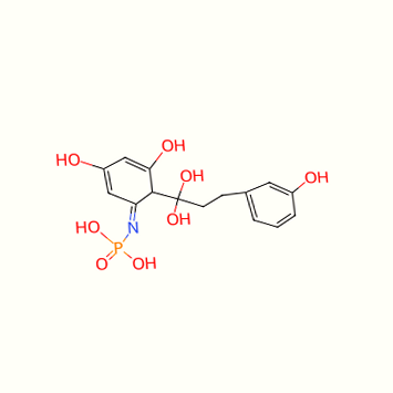 O=P(O)(O)N=C1C=C(O)C=C(O)C1C(O)(O)CCc1cccc(O)c1